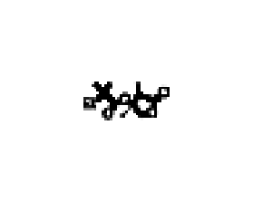 CCC(C)(C)C(=O)O[C@]1(C)COC(=O)[C@@H]1C